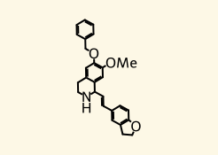 COc1cc2c(cc1OCc1ccccc1)CCNC2/C=C/c1ccc2c(c1)CCO2